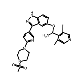 Cc1cncc(C)c1[C@@H](N)Oc1ccc2[nH]nc(-c3ccc(N4CCN(S(C)(=O)=O)CC4)nc3)c2c1